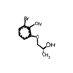 C[C@@H](O)COc1cccc(Br)c1O